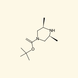 C=C(OC(C)(C)C)N1C[C@@H](C)N[C@@H](C)C1